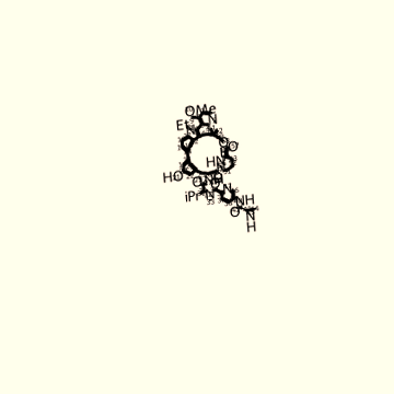 CCn1c(-c2cnccc2COC)c2c3cc(ccc31)-c1cc(O)cc(c1)C[C@H](NC(=O)C(C(C)C)N(C)C(=O)c1ccc(NC(=O)[C@H]3CN3)cn1)C(=O)N1CCC[C@H](N1)C(=O)OCC(C)(C)C2